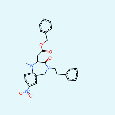 CN1c2ccc([N+](=O)[O-])cc2CN(CCc2ccccc2)C(=O)C1CC(=O)OCc1ccccc1